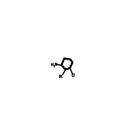 CCc1c(N)cccc1Cl